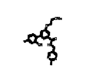 COCCOc1cc(C(=O)NCc2cnc(C)nc2)cc(-c2ccc(C)cc2C#N)c1